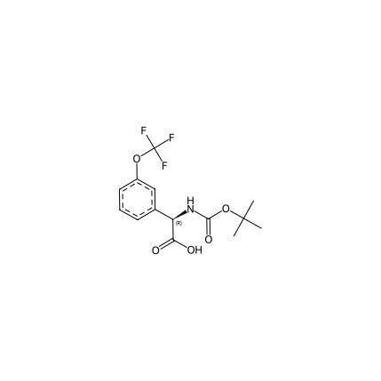 CC(C)(C)OC(=O)N[C@@H](C(=O)O)c1cccc(OC(F)(F)F)c1